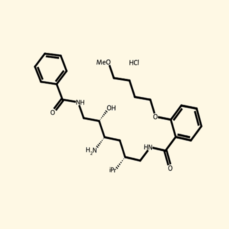 COCCCCOc1ccccc1C(=O)NC[C@@H](C[C@H](N)[C@@H](O)CNC(=O)c1ccccc1)C(C)C.Cl